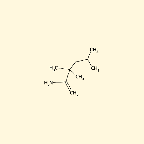 C=C(N)C(C)(C)CC(C)C